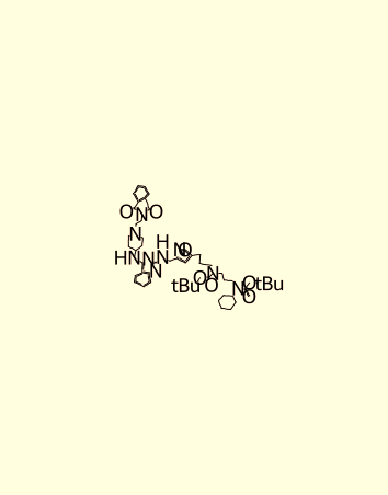 CC(C)(C)OC(=O)N(CCCc1cc(CNc2nc(NC3CCN(CCN4C(=O)c5ccccc5C4=O)CC3)c3ccccc3n2)no1)CCCN(C(=O)OC(C)(C)C)C1CCCCC1